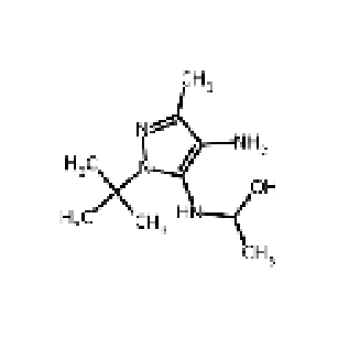 Cc1nn(C(C)(C)C)c(NC(C)O)c1N